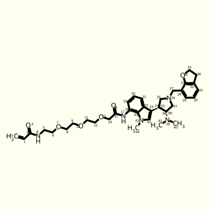 C=CC(=O)NCCOCCOCCOCC(=O)Nc1cccc2c([C@H]3CN(Cc4cccc5c4OCC5)C[C@@H]3N(C)C)cn(C)c12